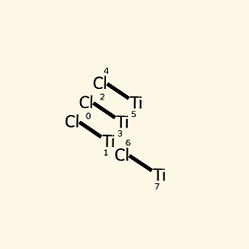 [Cl][Ti].[Cl][Ti].[Cl][Ti].[Cl][Ti]